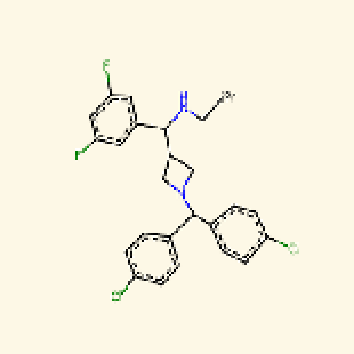 CC(C)CNC(c1cc(F)cc(F)c1)C1CN(C(c2ccc(Cl)cc2)c2ccc(Cl)cc2)C1